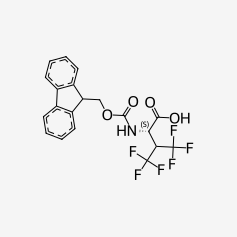 O=C(N[C@H](C(=O)O)C(C(F)(F)F)C(F)(F)F)OCC1c2ccccc2-c2ccccc21